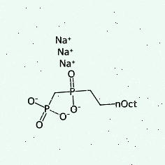 CCCCCCCCCCP(=O)([O-])CP(=O)([O-])[O-].[Na+].[Na+].[Na+]